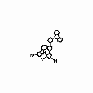 N#Cc1cc(C#N)c(-n2c3ccccc3c3cc(C#N)ccc32)c(-c2ccc(-c3cccc(-n4c5ccccc5c5ccccc54)c3)cc2)c1